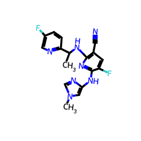 CC(Nc1nc(Nc2cn(C)cn2)c(F)cc1C#N)c1ccc(F)cn1